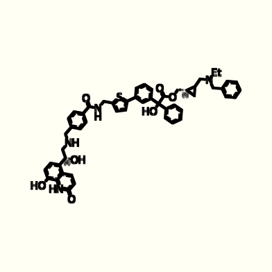 CCN(Cc1ccccc1)CC1C[C@@H]1COC(=O)C(O)(c1ccccc1)c1cccc(-c2ccc(CNC(=O)c3ccc(CNC[C@H](O)c4ccc(O)c5[nH]c(=O)ccc45)cc3)s2)c1